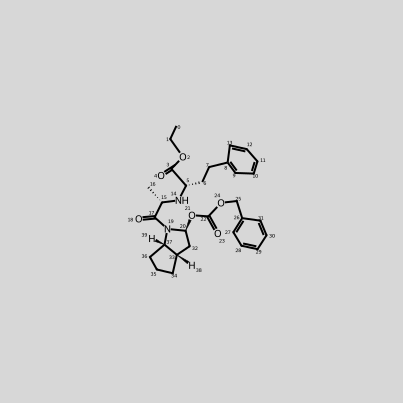 CCOC(=O)[C@H](CCc1ccccc1)N[C@@H](C)C(=O)N1[C@@H](OC(=O)OCc2ccccc2)C[C@@H]2CCC[C@@H]21